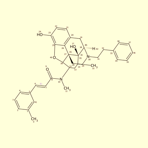 Cc1cccc(/C=C/C(=O)N(C)C2CC(C)[C@@]3(O)[C@H]4Cc5ccc(O)c6c5[C@@]3(CCN4CCc3ccccc3)C2O6)c1